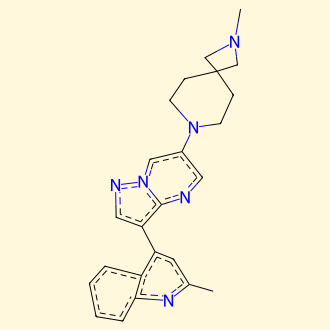 Cc1cc(-c2cnn3cc(N4CCC5(CC4)CN(C)C5)cnc23)c2ccccc2n1